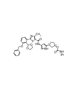 Cc1nc(-c2cccc(OCc3ccccc3)c2C2OCCO2)sc1C(=O)Nc1cc([C@H]2CC[C@@H](OC(=O)NC(C)C)C2)[nH]n1